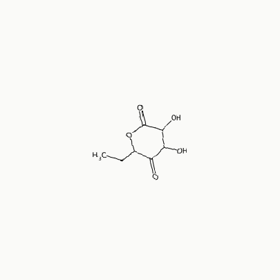 CCC1OC(=O)C(O)C(O)C1=O